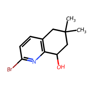 CC1(C)Cc2ccc(Br)nc2C(O)C1